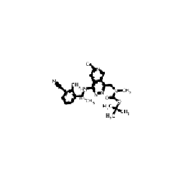 Cc1c(C#N)cccc1[C@@H](C)Nc1nnc(CN(C)C(=O)OC(C)(C)C)c2cnc(Cl)cc12